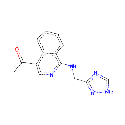 CC(=O)c1cnc(NCc2nc[nH]n2)c2ccccc12